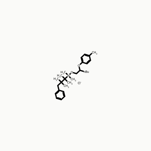 CCCCC(CO[N+](C)(C)C(C)(C)C(C)(C)Cc1ccccc1)Oc1ccc(C)cc1.[Cl-]